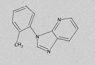 Cc1ccccc1-n1[c]nc2cccnc21